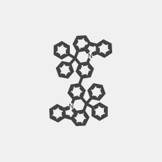 c1ccc(C2(c3ccccc3)c3cc(-c4ccc5c(c4)C(c4ccccc4)(c4ccccc4)c4cccc6c7ccccc7n-5c46)ccc3-n3c4ccccc4c4cccc2c43)cc1